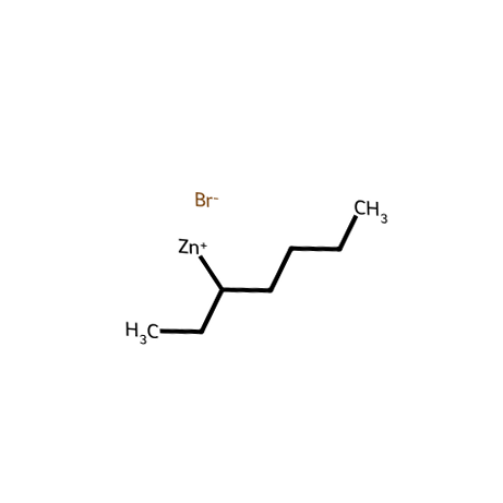 CCCC[CH]([Zn+])CC.[Br-]